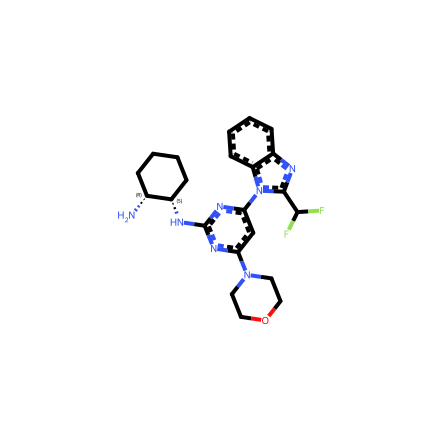 N[C@@H]1CCCC[C@@H]1Nc1nc(N2CCOCC2)cc(-n2c(C(F)F)nc3ccccc32)n1